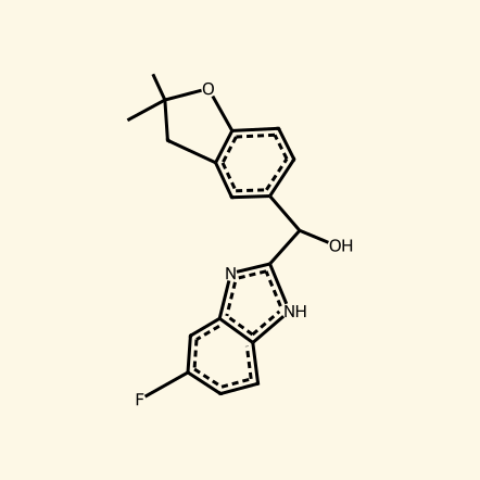 CC1(C)Cc2cc(C(O)c3nc4cc(F)ccc4[nH]3)ccc2O1